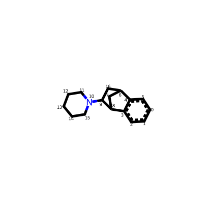 c1ccc2c(c1)C1CC2C(N2CCCCC2)C1